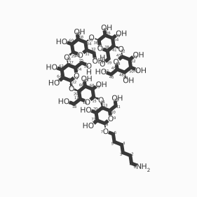 NCCCCCCO[C@H]1OC(CO)[C@H](O[C@H]2OC(CO)[C@@H](O[C@@H]3OC(CO)[C@@H](O[C@@H]4OC(CO)[C@@H](O[C@H]5OC(CO)[C@H](O[C@H]6OC(CO)[C@@H](O)C(O)C6O)C(O)C5O)C(O)C4O)C(O)C3O)C(O)C2O)C(O)C1O